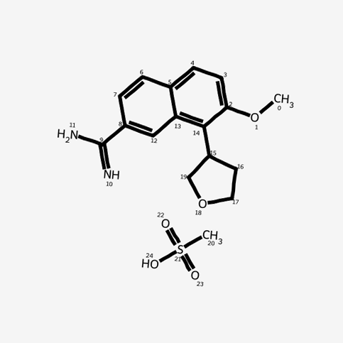 COc1ccc2ccc(C(=N)N)cc2c1C1CCOC1.CS(=O)(=O)O